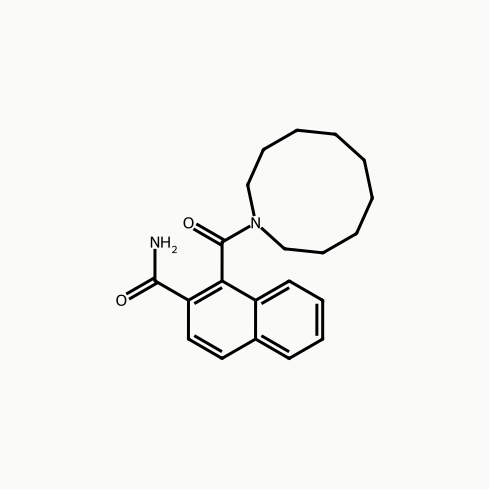 NC(=O)c1ccc2ccccc2c1C(=O)N1CCCCCCCCC1